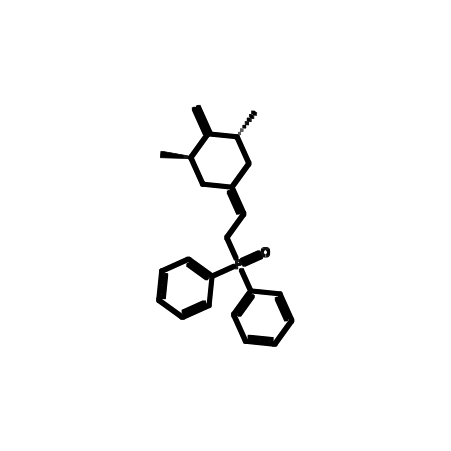 C=C1[C@H](C)CC(=CCP(=O)(c2ccccc2)c2ccccc2)C[C@H]1C